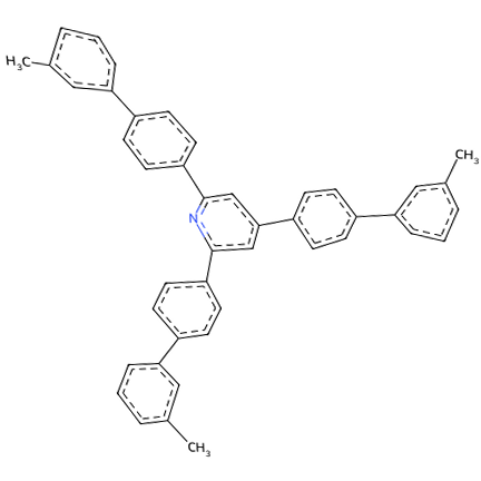 Cc1cccc(-c2ccc(-c3cc(-c4ccc(-c5cccc(C)c5)cc4)nc(-c4ccc(-c5cccc(C)c5)cc4)c3)cc2)c1